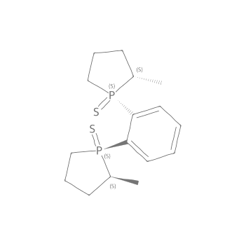 C[C@H]1CCC[P@@]1(=S)c1ccccc1[P@]1(=S)CCC[C@@H]1C